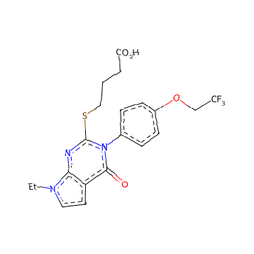 CCn1ccc2c(=O)n(-c3ccc(OCC(F)(F)F)cc3)c(SCCCC(=O)O)nc21